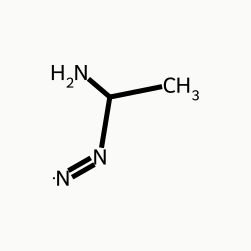 CC(N)N=[N]